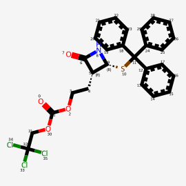 O=C(OCC[C@@H]1C(=O)N[C@@H]1SC(c1ccccc1)(c1ccccc1)c1ccccc1)OCC(Cl)(Cl)Cl